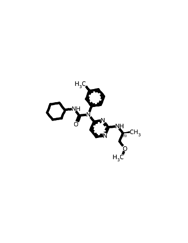 COC[C@H](C)Nc1nccc(N(C(=O)NC2CCCCC2)c2cccc(C)c2)n1